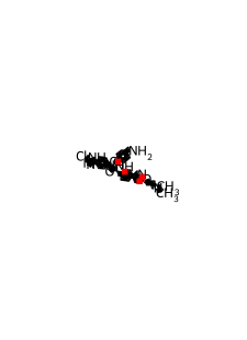 CN(C)CCCOc1ccc(-c2ccc(C[C@H](NC(=O)C3CCC(CN)CC3)C(=O)Nc3ccc(-c4nnc(Cl)[nH]4)cc3)cc2)cn1